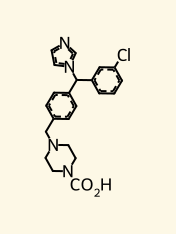 O=C(O)N1CCN(Cc2ccc(C(c3cccc(Cl)c3)n3ccnc3)cc2)CC1